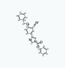 N#Cc1cc(-c2cn(C(=O)Oc3ccccc3)cn2)ccc1OCc1ccccc1